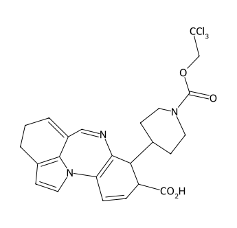 O=C(O)C1C=CC2=C(N=CC3=CCCc4ccn2c43)C1C1CCN(C(=O)OCC(Cl)(Cl)Cl)CC1